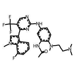 CC(=O)Nc1cc(Nc2ncc(C(F)(F)F)c(-c3cn(C)c4c(F)cccc34)n2)ccc1N(C)CCN(C)C